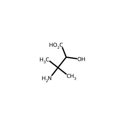 CC(C)(N)C(O)C(=O)O